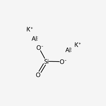 O=[Si]([O-])[O-].[Al].[Al].[K+].[K+]